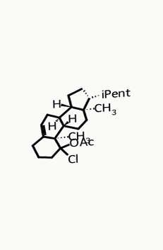 CCC[C@@H](C)[C@H]1CC[C@H]2[C@@H]3CC=C4CCCC(Cl)(OC(C)=O)[C@]4(C)[C@H]3CC[C@]12C